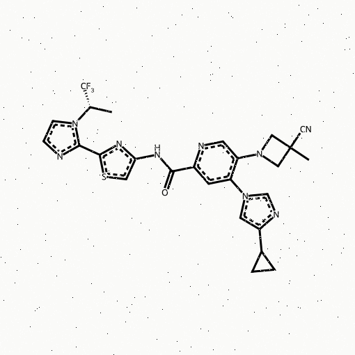 C[C@H](n1ccnc1-c1nc(NC(=O)c2cc(-n3cnc(C4CC4)c3)c(N3CC(C)(C#N)C3)cn2)cs1)C(F)(F)F